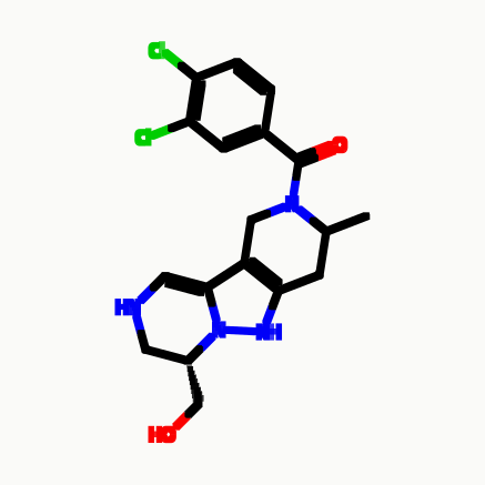 CC1CC2=C(CN1C(=O)c1ccc(Cl)c(Cl)c1)C1=CNC[C@@H](CO)N1N2